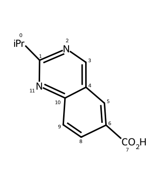 CC(C)c1ncc2cc(C(=O)O)ccc2n1